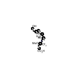 COc1cc(/C=C/c2nccc(-c3cccc(Nc4nccc5cc(CN6CCC(O)C6)cnc45)c3C)c2C#N)c(C(F)(F)F)cc1CN1CC[C@@H](C(=O)O)C1